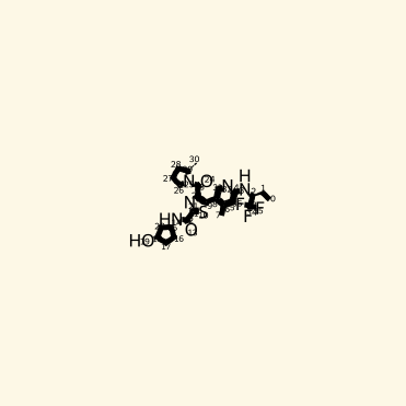 CC[C@H](Nc1cc(C)c(-c2sc(C(=O)N[C@@H]3CC[C@@H](O)C3)nc2C(=O)N2CCC[C@@H]2C)cn1)C(F)(F)F